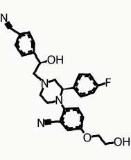 N#Cc1ccc([C@@H](O)CN2CCN(c3ccc(OCCO)cc3C#N)[C@H](c3ccc(F)cc3)C2)cc1